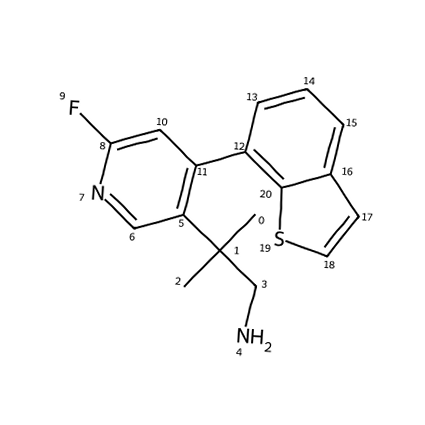 CC(C)(CN)c1cnc(F)cc1-c1cccc2ccsc12